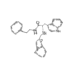 O=C(NCCc1ccccc1)C(Cc1c[nH]c2ccccc12)NCc1cc2ccccc2o1